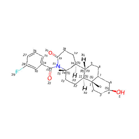 C[C@]12CC[C@H](O)CC1CC[C@@H]1[C@@H]2CC[C@@]2(C)[C@H]1CCC(=O)N2C(=O)c1cccc(F)c1